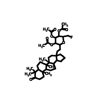 CC(=O)OC1C(CF)OC(CCC23CCCC2C2CCC4C5(C)CCC(=O)C(C)(C)C5CCC4(C)[C@]2(C)CC3)C(OC(C)=O)C1OC(C)=O